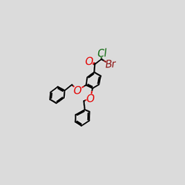 O=C(c1ccc(OCc2ccccc2)c(OCc2ccccc2)c1)C(Cl)Br